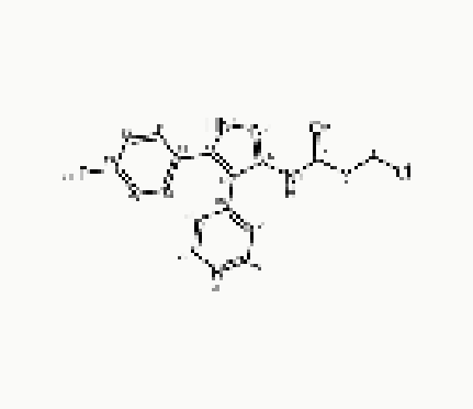 O=C(CCCl)Nc1n[nH]c(-c2ccc(F)cc2)c1-c1ccncc1